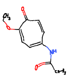 COc1ccc(NC(C)=O)ccc1=O